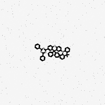 CC1(C)c2ccccc2N(c2ccc3c(c2)C(c2ccccc2)(c2ccccc2)c2cc(-c4nc(-c5ccccc5)nc(-c5ccccc5)n4)ccc2O3)c2ccccc21